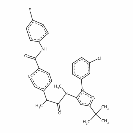 CC(C(=O)N(C)c1cc(C(C)(C)C)nn1-c1cccc(Cl)c1)c1ccc(C(=O)Nc2ccc(F)cc2)nc1